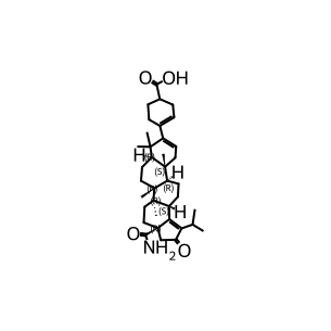 CC(C)C1=C2[C@H]3CC[C@@H]4[C@@]5(C)CC=C(C6=CCC(C(=O)O)CC6)C(C)(C)[C@@H]5CC[C@@]4(C)[C@]3(C)CC[C@@]2(C(N)=O)CC1=O